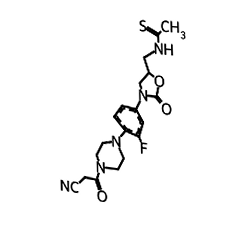 CC(=S)NCC1CN(c2ccc(N3CCN(C(=O)CC#N)CC3)c(F)c2)C(=O)O1